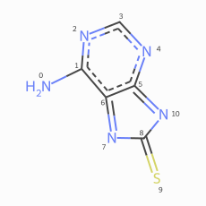 Nc1ncnc2c1=NC(=S)N=2